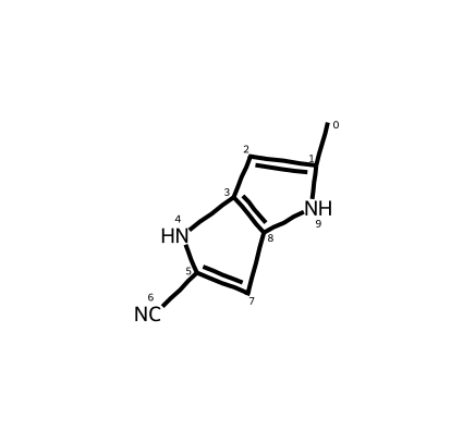 Cc1cc2[nH]c(C#N)cc2[nH]1